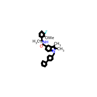 COc1c(F)cccc1[C@H](C)NC(=O)c1ccc2c(c1)c(C)c(C)n2Cc1ccc(-c2ccccc2)cc1